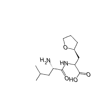 CC(C)C[C@H](N)C(=O)NC(C[C@@H]1CCCO1)C(=O)O